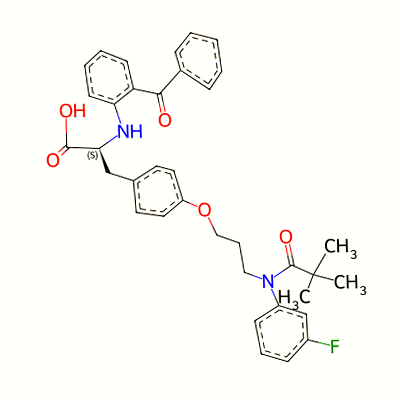 CC(C)(C)C(=O)N(CCCOc1ccc(C[C@H](Nc2ccccc2C(=O)c2ccccc2)C(=O)O)cc1)c1cccc(F)c1